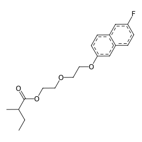 CCC(C)C(=O)OCCOCCOc1ccc2cc(F)ccc2c1